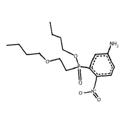 CCCCOCCP(=O)(OCCCC)c1cc(N)ccc1[N+](=O)[O-]